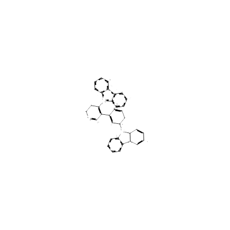 N#CC1=CCC(N2c3ccccc3C3C=CC=CC32)C=C1C1=C(n2c3ccccc3c3ccccc32)CCN=C1